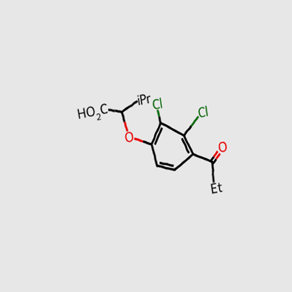 CCC(=O)c1ccc(OC(C(=O)O)C(C)C)c(Cl)c1Cl